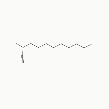 [C]#CC(C)CCCCCCCCC